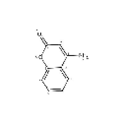 Nc1[c]c(=O)oc2ccccc12